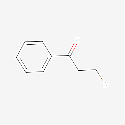 O=C(CC[S])c1ccccc1